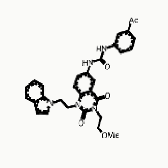 COCCn1c(=O)c2cc(NC(=O)Nc3cccc(C(C)=O)c3)ccc2n(CCn2ccc3ccccc32)c1=O